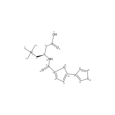 C[N+](C)(C)C[C@@H](CC(=O)O)NC(=O)c1ccc(-c2ccsc2)o1